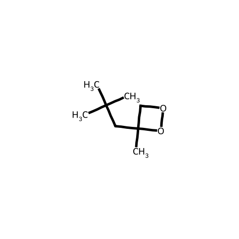 CC(C)(C)CC1(C)COO1